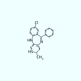 CC(S)C[C@@H]1N=C(c2ccccc2)c2cc(Cl)ccc2NC1=S